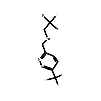 FC(F)(F)CNCc1ccc(C(F)(F)F)nn1